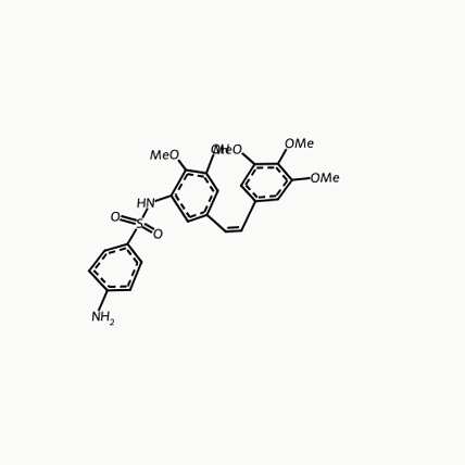 COc1cc(/C=C\c2cc(O)c(OC)c(NS(=O)(=O)c3ccc(N)cc3)c2)cc(OC)c1OC